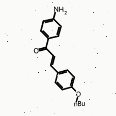 CCCCOc1ccc(C=CC(=O)c2ccc(N)cc2)cc1